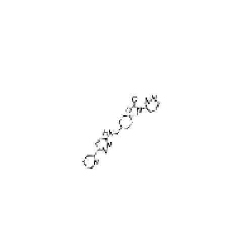 O=C1O[C@]2(CC[C@H](CNc3ccc(-c4ccccn4)nn3)CC2)CN1c1cccnn1